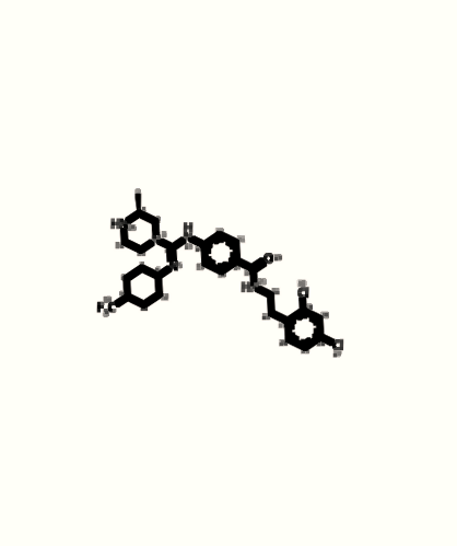 C[C@H]1CN(/C(=N\C2CCC(C(F)(F)F)CC2)Nc2ccc(C(=O)NCCc3ccc(Cl)cc3Cl)cc2)CCN1